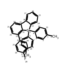 Cc1ccc([Si]2(c3ccc(C)cc3)c3ccccc3-c3cccc(-c4ccc(F)cc4)c32)cc1